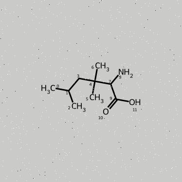 CC(C)CC(C)(C)C(N)C(=O)O